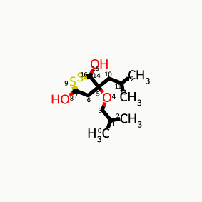 CC(C)COC(CC(O)=S)(CC(C)C)C(O)=S